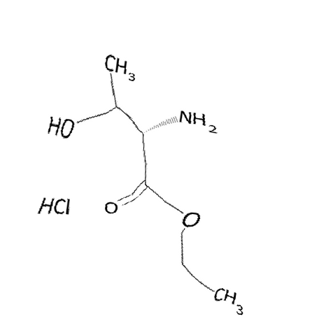 CCOC(=O)[C@@H](N)C(C)O.Cl